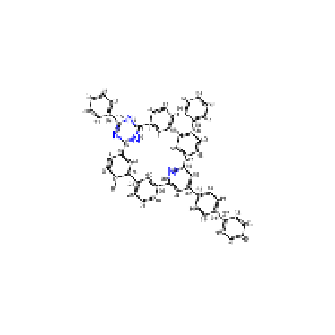 CC1C#CC(c2nc(-c3ccccc3)nc(-c3ccccc3)n2)=CC1c1cccc(-c2cc(-c3ccc(-c4ccccc4)cc3)cc(-c3ccc(-c4ccccc4)cc3)n2)c1